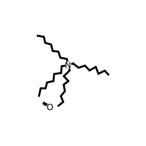 C=O.CCCCCCCC[N+](CCCCCCCC)(CCCCCCCC)CCCCCCCC